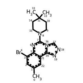 Cc1cc(Br)c2nc(N3CCC(C)(C)CC3)n3cnnc3c2c1